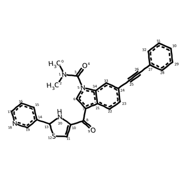 CN(C)C(=O)n1cc(C(=O)C2=CSC(c3cccnc3)N2)c2ccc(C#Cc3ccccc3)cc21